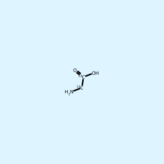 N[13CH2][13C](=O)O